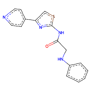 O=C(CNc1ccccc1)Nc1nc(-c2ccncc2)cs1